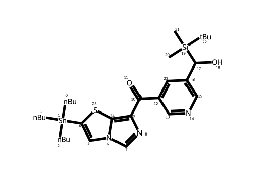 CCC[CH2][Sn]([CH2]CCC)([CH2]CCC)[c]1cn2cnc(C(=O)c3cncc(C(O)[Si](C)(C)C(C)(C)C)c3)c2s1